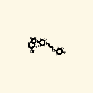 Fc1ccc(OCCCN2CCC(N3CCc4ccc(Br)cc43)CC2)cc1